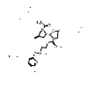 C=C1C[C@@H](C2OCCN2C(=O)OCCSSc2ccccn2)N(C(=O)C(F)(F)F)C1